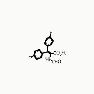 CCOC(=O)C(NC=O)=C(c1ccc(F)cc1)c1ccc(F)cc1